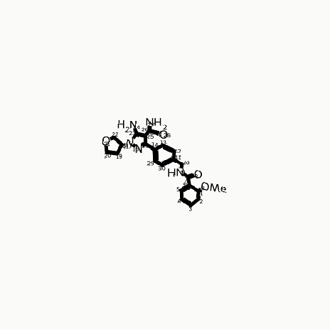 COC1CC=CC=C1C(=O)NCc1ccc(-c2nn([C@@H]3CCOC3)c(N)c2C(N)=O)cc1